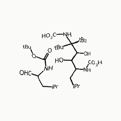 CC(C)CC(C=O)NC(=O)OC(C)(C)C.CC(C)CC(NC(=O)O)C(O)C(O)C(NC(=O)O)(C(C)(C)C)C(C)(C)C